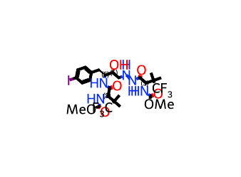 COC(=O)N[C@H](C(=O)NNC[C@H](O)[C@H](Cc1ccc(I)cc1)NC(=O)[C@@H](NC(=O)OC)C(C)(C)C(F)(F)F)C(C)(C)C(F)(F)F